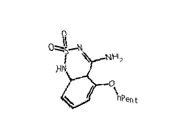 CCCCCOC1=CC=CC2NS(=O)(=O)N=C(N)C12